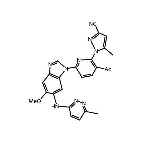 COc1cc2ncn(-c3ccc(C(C)=O)c(-n4nc(C#N)cc4C)n3)c2cc1Nc1ccc(C)nn1